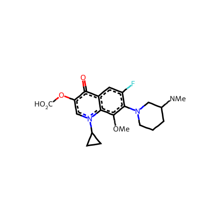 CNC1CCCN(c2c(F)cc3c(=O)c(OC(=O)O)cn(C4CC4)c3c2OC)C1